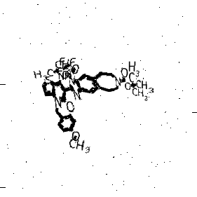 COc1ccc(Cn2c(=O)c(-c3nc4cc5c(cc4n3S(=O)(=O)C(F)(F)F)CCN(C(=O)OC(C)(C)C)CC5)c(NC(C)C)c3sccc32)cc1